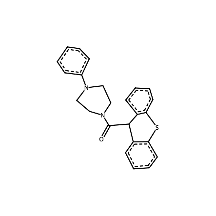 O=C(C1c2ccccc2Sc2ccccc21)N1CCN(c2ccccc2)CC1